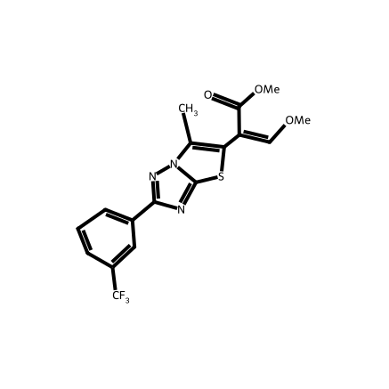 CO/C=C(\C(=O)OC)c1sc2nc(-c3cccc(C(F)(F)F)c3)nn2c1C